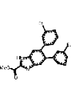 CCc1cccc(-c2cc3nc(C(=O)OC)[nH]c3cc2-c2cccc(CC)c2)c1